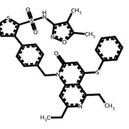 CCc1cc2c(c(Sc3ccccc3)cc(=O)n2Cc2ccc(-c3ccsc3S(=O)(=O)Nc3noc(C)c3C)cc2)c(CC)n1